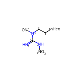 CCCCCCCCN(N=O)C(=N)N[N+](=O)[O-]